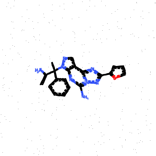 C=C(N)C(C)(c1ccccc1)n1ncc2c1nc(N)n1nc(-c3ccco3)nc21